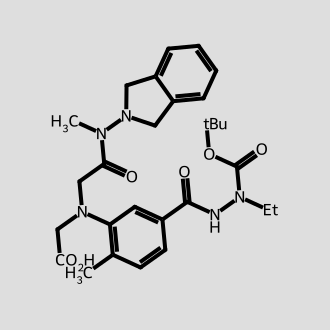 CCN(NC(=O)c1ccc(C)c(N(CC(=O)O)CC(=O)N(C)N2Cc3ccccc3C2)c1)C(=O)OC(C)(C)C